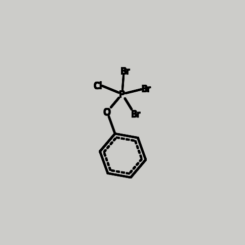 ClP(Br)(Br)(Br)Oc1ccccc1